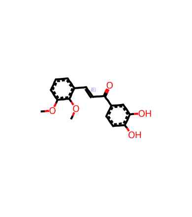 COc1cccc(/C=C/C(=O)c2ccc(O)c(O)c2)c1OC